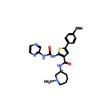 COc1ccc(-c2cc(C(=O)N[C@H]3CCCCN(C(=O)O)C3)c(NC(=O)Nc3cnccn3)s2)cc1